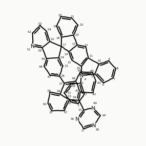 c1ccc(-n2c3ccccc3c3cc4c(cc32)C2(c3ccccc3-4)c3cc(-c4c5ccccc5c(-c5ncncn5)c5ccccc45)ccc3-c3ncccc32)cc1